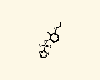 CCOc1cccc(NS(=O)(=O)c2nccs2)c1C